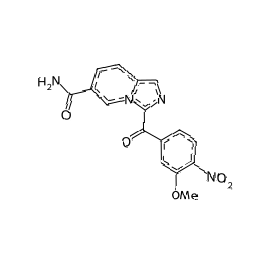 COc1cc(C(=O)c2ncc3ccc(C(N)=O)cn23)ccc1[N+](=O)[O-]